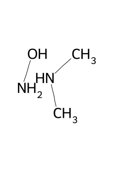 CNC.NO